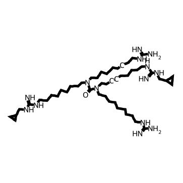 N=C(N)NCCCCCCCCCN(CCCCCCCCCNC(=N)NCC1CC1)C(=O)N(CCCCCCCCCNC(=N)N)CCCCCCCCCNC(=N)NCC1CC1